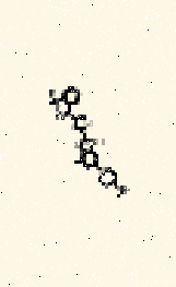 CNC1CCN(c2cc(F)c3nc(-c4cc(C(=O)c5ccccc5C(F)(F)F)c[nH]4)[nH]c3c2)CC1